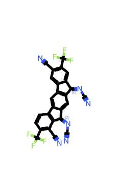 N#C/N=c1/c2cc(C(F)(F)F)c(C#N)cc2c2cc3c(cc12)/c(=N/C#N)c1c(C#N)c(C(F)(F)F)ccc13